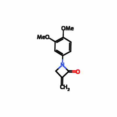 C=C1CN(c2ccc(OC)c(OC)c2)C1=O